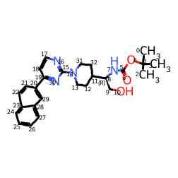 CC(C)(C)OC(=O)N[C@@H](CO)C1CCN(c2nccc(-c3ccc4ccccc4c3)n2)CC1